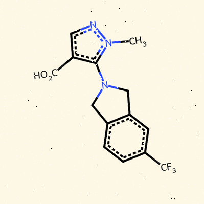 Cn1ncc(C(=O)O)c1N1Cc2ccc(C(F)(F)F)cc2C1